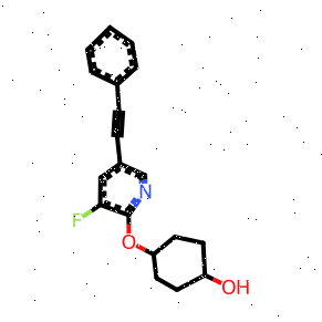 OC1CCC(Oc2ncc(C#Cc3ccccc3)cc2F)CC1